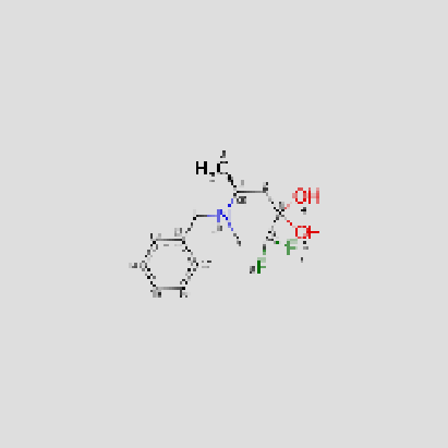 C[C@H]1CC(O)(O)C(F)(F)CN1Cc1ccccc1